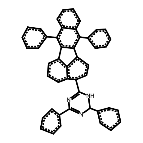 c1ccc(C2=NC(c3ccccc3)NC(c3ccc4c5c(cccc35)-c3c-4c(-c4ccccc4)c4ccccc4c3-c3ccccc3)=N2)cc1